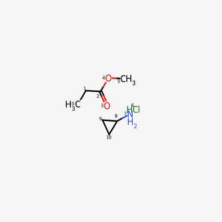 CCC(=O)OC.Cl.NC1CC1